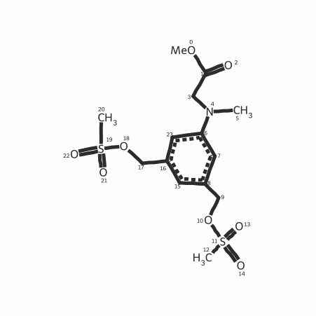 COC(=O)CN(C)c1cc(COS(C)(=O)=O)cc(COS(C)(=O)=O)c1